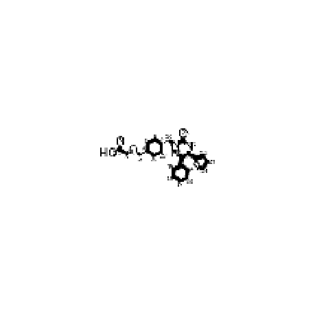 O=C(O)COC[C@H]1CC[C@H](Cn2nc(-c3ccccc3)c(-c3cccs3)nc2=O)CC1